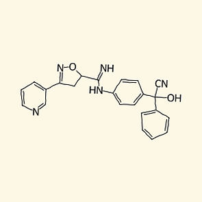 N#CC(O)(c1ccccc1)c1ccc(NC(=N)C2CC(c3cccnc3)=NO2)cc1